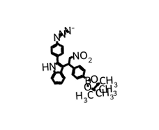 CC1(C)OB(c2ccc(C(C[N+](=O)[O-])c3c(-c4ccc(N=[N+]=[N-])cc4)[nH]c4ccccc34)cc2)OC1(C)C